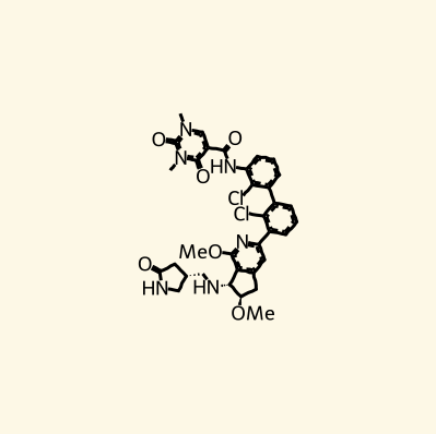 COc1nc(-c2cccc(-c3cccc(NC(=O)c4cn(C)c(=O)n(C)c4=O)c3Cl)c2Cl)cc2c1[C@@H](NC[C@@H]1CNC(=O)C1)[C@H](OC)C2